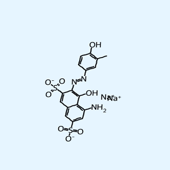 Cc1cc(N=Nc2c(S(=O)(=O)[O-])cc3cc(S(=O)(=O)[O-])cc(N)c3c2O)ccc1O.[Na+].[Na+]